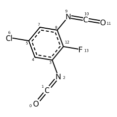 O=C=Nc1cc(Cl)cc(N=C=O)c1F